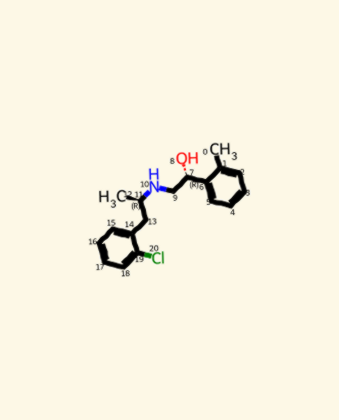 Cc1ccccc1[C@@H](O)CN[C@H](C)Cc1ccccc1Cl